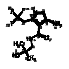 CC(C)(O)CNC(=O)c1c(N)cnn1CC(F)(F)F